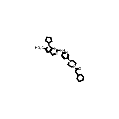 O=C(O)c1cc2cnc(Nc3ccc(N4CCN(C(=O)CC5CCCCC5)CC4)cn3)nc2n1C1CCCC1